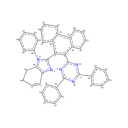 C1=Cc2nc(-c3c(-c4nc(-c5ccccc5)nc(-c5ccccc5)n4)c4ccccc4c4ccccc34)n(-c3ccccc3)c2CC1